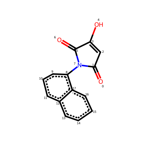 O=C1C=C(O)C(=O)N1c1cccc2ccccc12